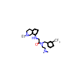 CCN1CCc2cccc(NCC(=O)N(CCN(C)C)Cc3cccc(C(F)(F)F)c3)c2C1